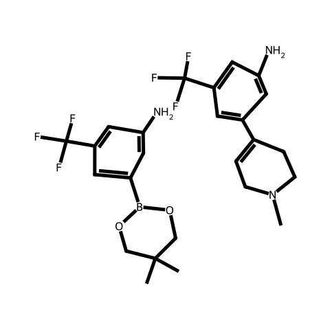 CC1(C)COB(c2cc(N)cc(C(F)(F)F)c2)OC1.CN1CC=C(c2cc(N)cc(C(F)(F)F)c2)CC1